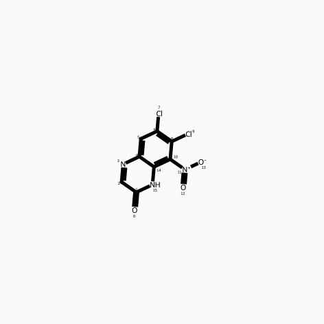 O=c1cnc2cc(Cl)c(Cl)c([N+](=O)[O-])c2[nH]1